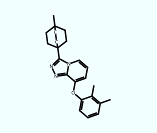 Cc1cccc(Oc2cccn3c(C45CCC(C)(CC4)CC5)nnc23)c1C